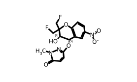 Cn1nc(O[C@H]2c3cc([N+](=O)[O-])ccc3OC(CF)(CF)[C@@H]2O)ccc1=O